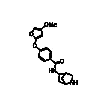 COc1coc(Oc2ccc(C(=O)NC3CC4CC3CN4)cc2)c1